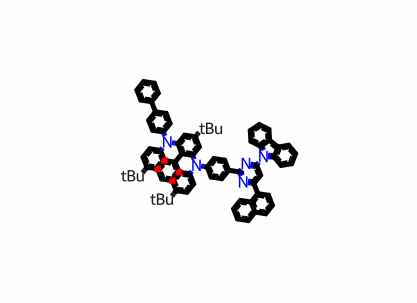 CC(C)(C)c1ccc(N(c2ccc(-c3ccccc3)cc2)c2cc(C(C)(C)C)cc(N(c3ccc(-c4nc(-c5cccc6ccccc56)cc(-n5c6ccccc6c6ccccc65)n4)cc3)c3ccc(C(C)(C)C)cc3)c2-c2ccccc2)cc1